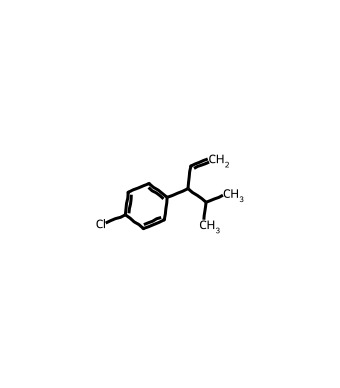 C=CC(c1ccc(Cl)cc1)C(C)C